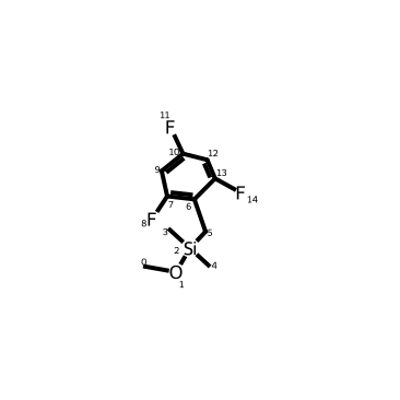 CO[Si](C)(C)Cc1c(F)cc(F)cc1F